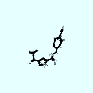 CC(C)C(=O)c1c[nH]c(C(=O)NCc2ccc(C#N)cc2)c1